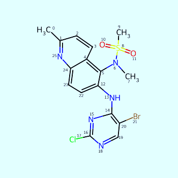 Cc1ccc2c(N(C)S(C)(=O)=O)c(Nc3nc(Cl)ncc3Br)ccc2n1